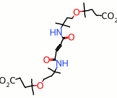 CC(C)(CCOC(C)(C)CCC(=O)O)NC(=O)C#CC(=O)NC(C)(C)CCOC(C)(C)CCC(=O)O